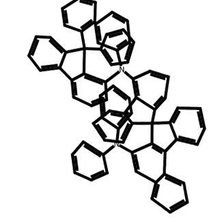 c1ccc(N(c2ccccc2)c2cc3ccccc3c3c2C2(c4ccccc4-c4c(N(c5ccccc5)c5cccc6c5C(c5ccccc5)(c5ccccc5)c5ccccc5-6)cccc42)c2ccccc2-3)cc1